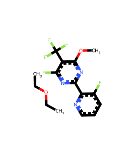 CCOCC.COc1nc(-c2ncccc2F)nc(F)c1C(F)(F)F